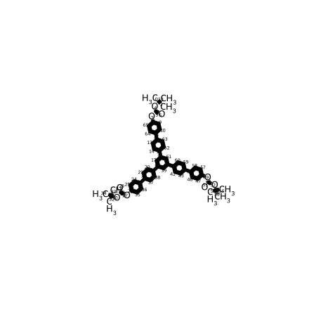 CC(C)(C)OC(=O)Oc1ccc(-c2ccc(-c3cc(-c4ccc(-c5ccc(OC(=O)OC(C)(C)C)cc5)cc4)cc(-c4ccc(-c5ccc(OC(=O)OC(C)(C)C)cc5)cc4)c3)cc2)cc1